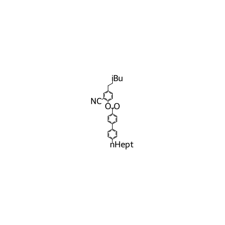 CCCCCCCc1ccc(-c2ccc(C(=O)Oc3ccc(CCC(C)CC)cc3C#N)cc2)cc1